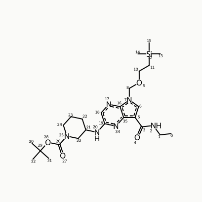 CCNC(=O)c1cn(COCC[Si](C)(C)C)c2ncc(NC3CCCN(C(=O)OC(C)(C)C)C3)nc12